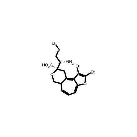 CCSC[C@H](N)[C@@]1(C(=O)O)CC2=c3c(CC)c(CC)oc3=CC=CC2CO1